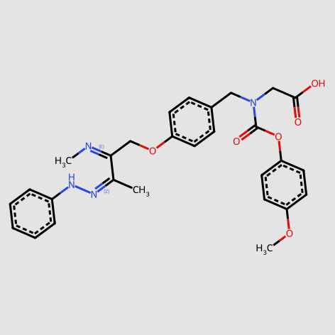 C/N=C(COc1ccc(CN(CC(=O)O)C(=O)Oc2ccc(OC)cc2)cc1)\C(C)=N/Nc1ccccc1